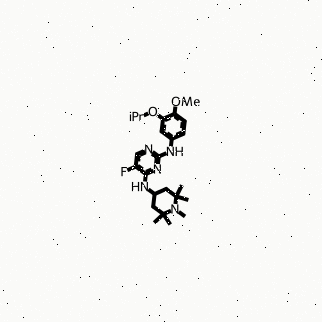 COc1ccc(Nc2ncc(F)c(NC3CC(C)(C)N(C)C(C)(C)C3)n2)cc1OC(C)C